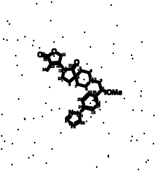 COC(CN1CCC2(CC1)CCN(C1=C(C)C(=O)OC1)C2=O)c1ccc(-n2cnnn2)cn1